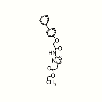 CCOC(=O)Cc1csc(NC(=O)COc2ccc(-c3ccccc3)cc2)n1